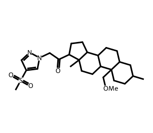 COCC12CCC(C)CC1CCC1C3CCC(C(=O)Cn4cc(S(C)(=O)=O)cn4)C3(C)CCC12